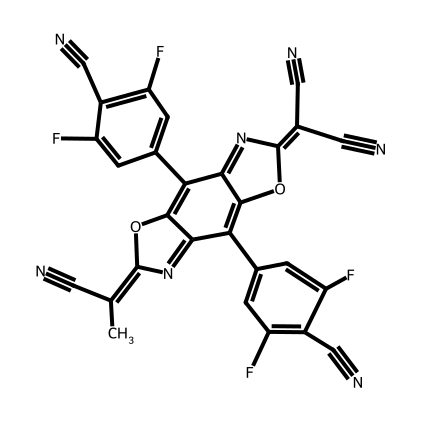 C/C(C#N)=c1\nc2c(-c3cc(F)c(C#N)c(F)c3)c3oc(=C(C#N)C#N)nc3c(-c3cc(F)c(C#N)c(F)c3)c2o1